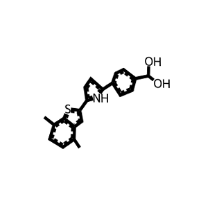 Cc1ccc(C)c2sc(-c3ccc(-c4ccc(C(O)O)cc4)[nH]3)cc12